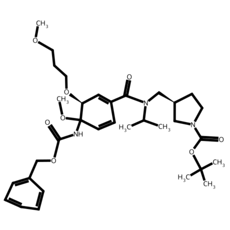 COCCCO[C@H]1C=C(C(=O)N(C[C@H]2CCN(C(=O)OC(C)(C)C)C2)C(C)C)C=CC1(NC(=O)OCc1ccccc1)OC